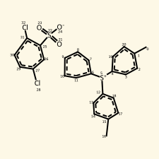 Cc1ccc([S+](c2ccccc2)c2ccc(C)cc2)cc1.O=S(=O)([O-])c1cc(Cl)ccc1Cl